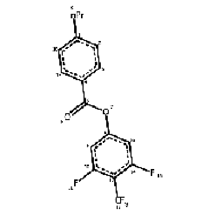 CCCc1ccc(C(=O)Oc2cc(F)c(C(F)(F)F)c(F)c2)cc1